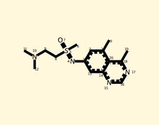 Cc1cc(N=S(C)(=O)CCN(C)C)cc2ncnc(C)c12